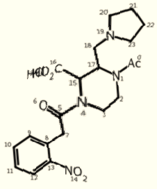 CC(=O)N1CCN(C(=O)Cc2ccccc2[N+](=O)[O-])C(C(=O)O)C1CN1CCCC1.Cl